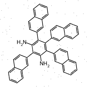 Nc1c(-c2ccc3ccccc3c2)c(N)c(-c2ccc3ccccc3c2)c(-c2ccc3ccccc3c2)c1-c1ccc2ccccc2c1